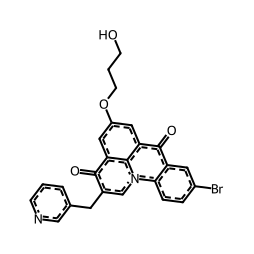 O=c1c(Cc2cccnc2)cn2c3ccc(Br)cc3c(=O)c3cc(OCCCO)cc1c32